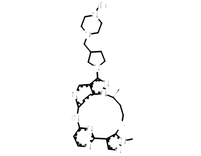 CC(C)N1CCN(CC2CCN(c3nn4c5cc(ncc35)Nc3ccnc(n3)-c3cnn(C)c3OCC[C@@H]4C)C2)CC1